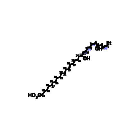 CC/C=C\C[C@H](O)\C=C/C=C/C=C/C(O)CC=CCC=CCCCCCCCCCCCCC(=O)O